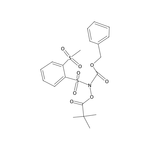 CC(C)(C)C(=O)ON(C(=O)OCc1ccccc1)S(=O)(=O)c1ccccc1S(C)(=O)=O